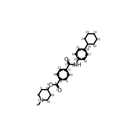 CN1CCC(OC(=O)c2ccc(C(=O)Nc3ccc(C4CCCCC4)cc3)cc2)CC1